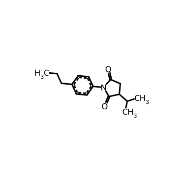 CCCc1ccc(N2C(=O)CC(C(C)C)C2=O)cc1